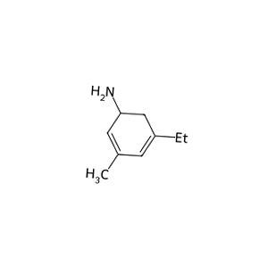 CCC1=CC(C)=CC(N)C1